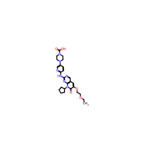 CCOCCOc1cc2cnc(Nc3ccc(N4CCN(C(=O)O)CC4)cn3)nc2n(C2CCCC2)c1=O